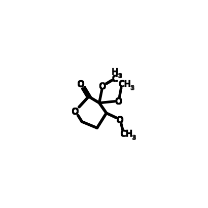 COC1CCOC(=O)C1(OC)OC